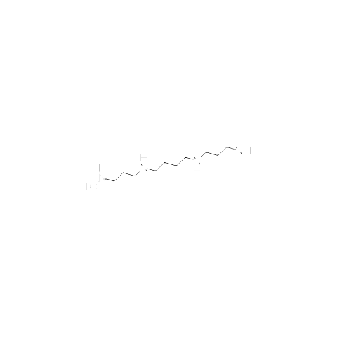 NCCCNCCCCNCCCNO